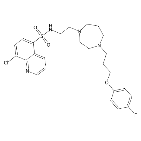 O=S(=O)(NCCN1CCCN(CCCOc2ccc(F)cc2)CC1)c1ccc(Cl)c2ncccc12